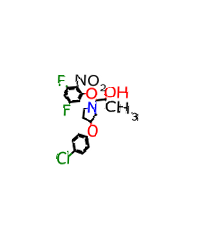 CC(O)C(Oc1cc(F)cc(F)c1[N+](=O)[O-])N1CCC(Oc2ccc(Cl)cc2)C1